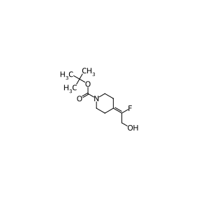 CC(C)(C)OC(=O)N1CCC(=C(F)CO)CC1